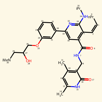 CCC/C=C\c1c(C(=O)NCc2c(C)cc(C)[nH]c2=O)cc(-c2cccc(OCC(O)CNC)c2)nc1NC(C)C